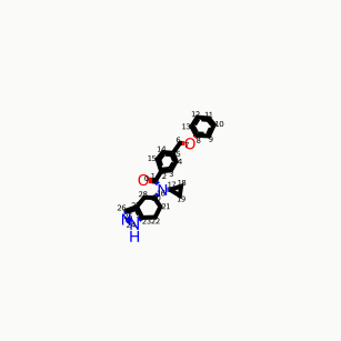 O=C(c1ccc(COc2ccccc2)cc1)N(C1CC1)C1CCc2[nH]ncc2C1